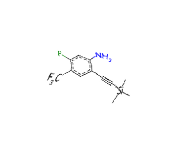 C[Si](C)(C)C#Cc1cc(C(F)(F)F)c(F)cc1N